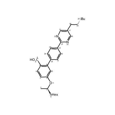 CCCCCC[C@@H](C)Oc1ccc(C(=O)O)c(-c2ccc(-c3ncc(CC[C@@H](C)CC)cn3)cc2)c1